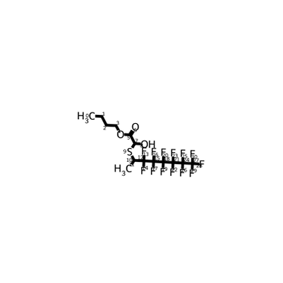 CCCCOC(=O)C(O)SC(C)C(F)(F)C(F)(F)C(F)(F)C(F)(F)C(F)(F)C(F)(F)F